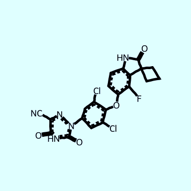 N#Cc1nn(-c2cc(Cl)c(Oc3ccc4c(c3F)C3(CCC3)C(=O)N4)c(Cl)c2)c(=O)[nH]c1=O